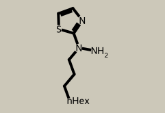 CCCCCCCCCN(N)c1nccs1